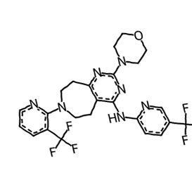 FC(F)(F)c1ccc(Nc2nc(N3CCOCC3)nc3c2CCN(c2ncccc2C(F)(F)F)CC3)nc1